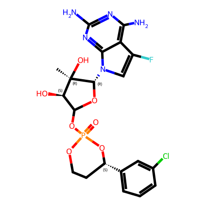 C[C@@]1(O)[C@H](O)C(OP2(=O)OCC[C@@H](c3cccc(Cl)c3)O2)O[C@H]1n1cc(F)c2c(N)nc(N)nc21